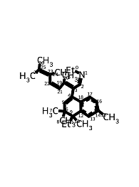 CC\N=C/C(C1=CC(C)(C)C(C)(CC)c2cc(C)ccc21)=C(C)/C=C\C(C)=C(C)C